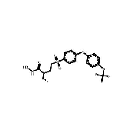 CC(CCS(=O)(=O)c1ccc(Oc2ccc(OC(F)(F)F)cc2)cc1)C(=O)NO